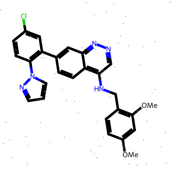 COc1ccc(CNc2cnnc3cc(-c4cc(Cl)ccc4-n4cccn4)ccc23)c(OC)c1